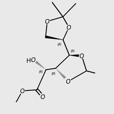 COC(=O)[C@H](O)[C@H]1OC(C)O[C@@H]1[C@H]1COC(C)(C)O1